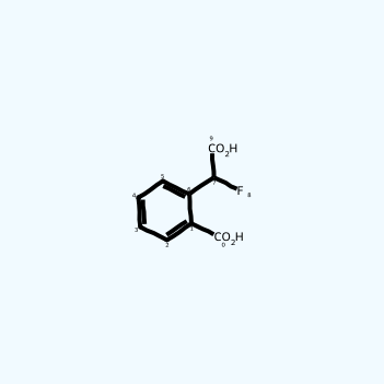 O=C(O)c1ccccc1C(F)C(=O)O